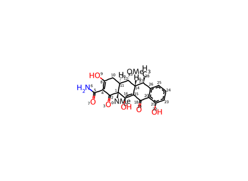 CN[C@@]12C(=O)C(C(N)=O)=C(O)C[C@H]1[C@H](OC)[C@H]1C(=C2O)C(=O)c2c(O)cccc2[C@@H]1C